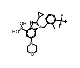 Cc1c(Cn2c(C3CC3)nc3c(B(O)O)cc(N4CCOCC4)cc32)cccc1C(F)(F)F